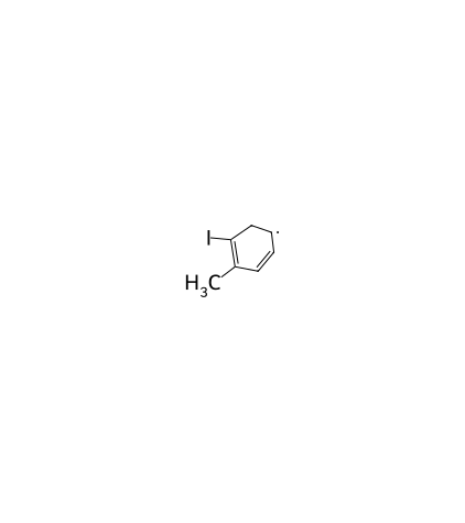 CC1=C(I)C[CH]C=C1